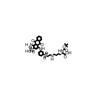 CC(C)(C)OC(=O)N[C@@H](CCCCNCCS(=O)(=O)c1cccc(Nc2cc(S(=O)(=O)O)c(N)c3c2C(=O)c2ccccc2C3=O)c1)C(=O)O